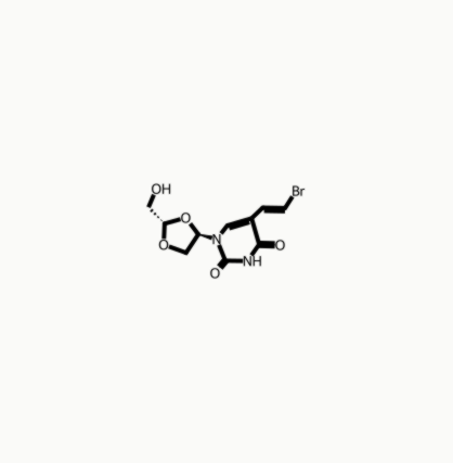 O=c1[nH]c(=O)n([C@H]2CO[C@H](CO)O2)cc1C=CBr